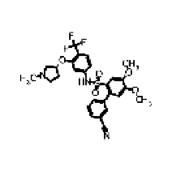 COc1cc(-c2cccc(C#N)c2)c(S(=O)(=O)Nc2ccc(C(F)(F)F)c(O[C@@H]3CCN(C)C3)c2)cc1OC